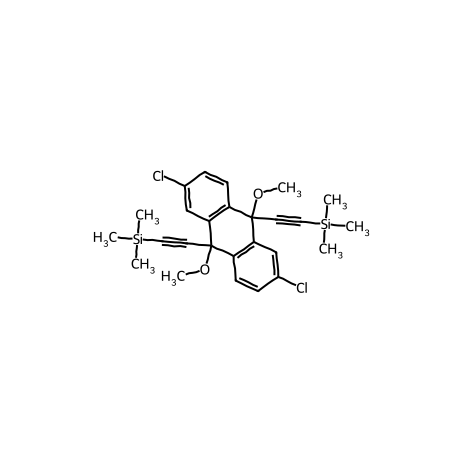 COC1(C#C[Si](C)(C)C)c2ccc(Cl)cc2C(C#C[Si](C)(C)C)(OC)c2ccc(Cl)cc21